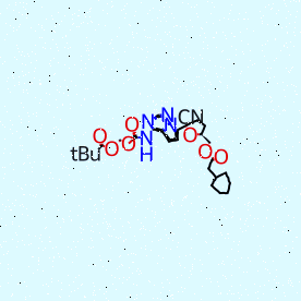 CC(C)(C)C(=O)OCOC(=O)Nc1ncnn2c([C@@]3(C#N)CC[C@@H](COC(=O)CC4CCCCC4)O3)ccc12